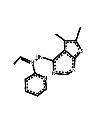 CC=[N+](Nc1ncnc2sc(C)c(C)c12)c1ccccn1